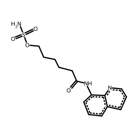 NS(=O)(=O)OCCCCCC(=O)Nc1cccc2cccnc12